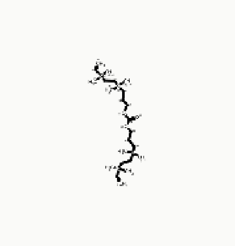 C=C[Si](C)(C)CC[Si](C)(C)CCCOC(=O)OCCC[Si](C)(C)CC[Si](C)(C)C=C